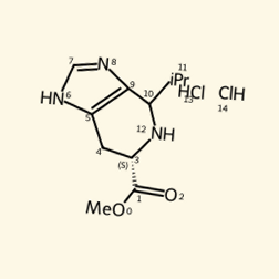 COC(=O)[C@@H]1Cc2[nH]cnc2C(C(C)C)N1.Cl.Cl